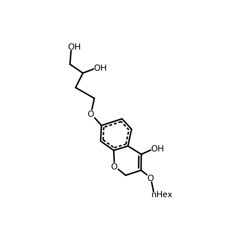 CCCCCCOC1=C(O)c2ccc(OCCC(O)CO)cc2OC1